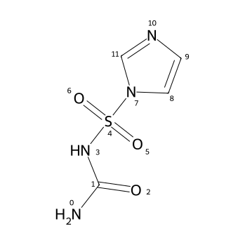 NC(=O)NS(=O)(=O)n1ccnc1